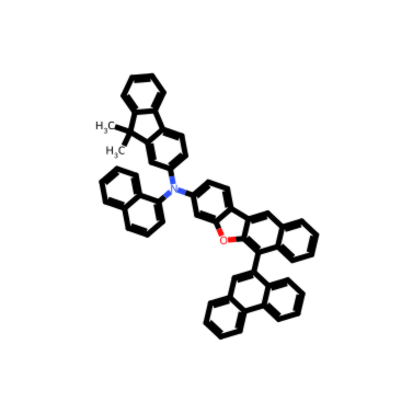 CC1(C)c2ccccc2-c2ccc(N(c3ccc4c(c3)oc3c(-c5cc6ccccc6c6ccccc56)c5ccccc5cc34)c3cccc4ccccc34)cc21